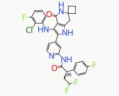 O=C1NC2(CCC2)Cc2[nH]c(-c3ccnc(NC(=O)[C@H](CC(F)F)c4ccc(F)cc4)c3)c(Nc3cccc(F)c3Cl)c21